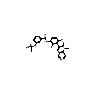 Cn1c(=O)c(-c2c(Cl)ccc(NC(=O)c3cccc(OC(F)(F)F)c3)c2Cl)cc2cnccc21